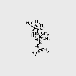 CCC(C)(C)C(C)BC(C)(C)NCBC(C)C